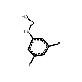 OOBc1cc(F)cc(F)c1